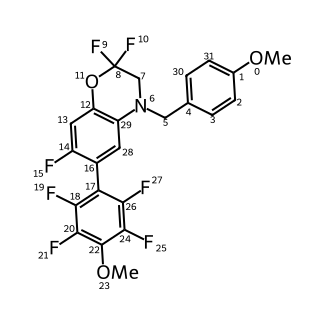 COc1ccc(CN2CC(F)(F)Oc3cc(F)c(-c4c(F)c(F)c(OC)c(F)c4F)cc32)cc1